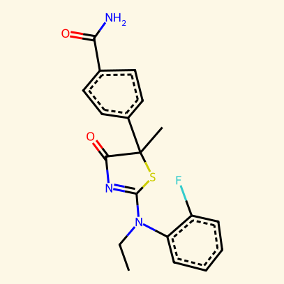 CCN(C1=NC(=O)C(C)(c2ccc(C(N)=O)cc2)S1)c1ccccc1F